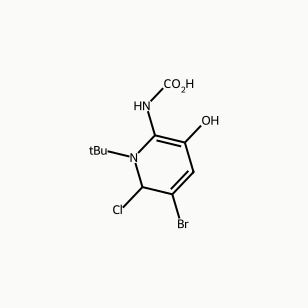 CC(C)(C)N1C(NC(=O)O)=C(O)C=C(Br)C1Cl